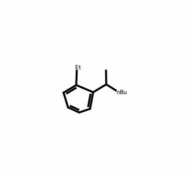 CCCCC(C)c1ccccc1CC